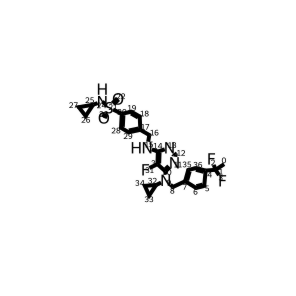 CC(F)(F)c1ccc(CN(c2ncnc(NCc3ccc(S(=O)(=O)NC4CC4)cc3)c2F)C2CC2)cc1